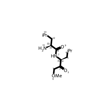 COCC(=O)[C@H](CC(C)C)NC(=O)[C@@H](N)CC(C)C